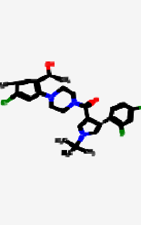 Cc1cc([C@H](C)O)c(N2CCN(C(=O)C3CN(C(C)(C)C)C[C@H]3c3ccc(F)cc3F)CC2)cc1Cl